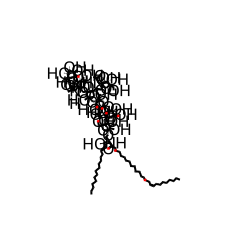 CCCCCCCC/C=C\CCCCCCCCCCCCCCCC(=O)N[C@@H](CO[C@@H]1OC(CO)[C@@H](O[C@@H]2OC(CO)[C@H](O)[C@H](O[C@@H]3OC(CO)[C@@H](O[C@@H]4OC(CO[C@@H]5OC(CO)[C@@H](O)[C@H](O)C5NC(C)=O)[C@H](O)[C@H](O[C@@H]5OC(CO)[C@@H](O[C@@H]6OC(CO)[C@H](O)[C@H](O)C6O)[C@H](O)C5NC(C)=O)C4O)[C@H](O)C3NC(C)=O)C2O)[C@H](O)C1O)[C@H](O)/C=C/CCCCCCCCCCCCC